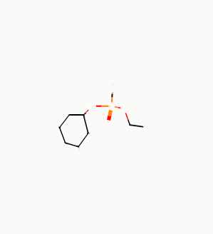 CCOP(C)(=O)OC1CCCCC1